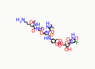 CC(=O)N[C@H](CCCCCN)C(=O)NCC(=O)O[C@@H]1CC(C(=O)Nc2ccc3c(c2)COP(=O)(OC[C@H]2O[C@@H](n4cc(F)c(=O)[nH]c4=O)C[C@@H]2O)O3)N(C(=O)[C@H](N)C(C)C)C1